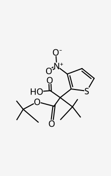 CC(C)(C)OC(=O)C(C(=O)O)(c1sccc1[N+](=O)[O-])C(C)(C)C